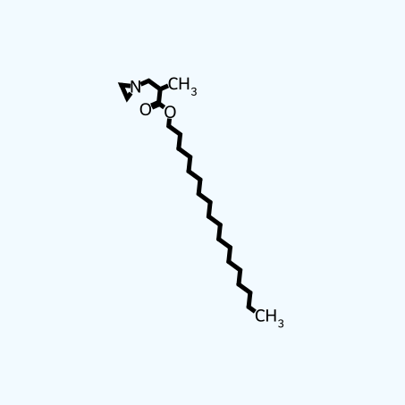 CCCCCCCCCCCCCCCCCCOC(=O)C(C)CN1CC1